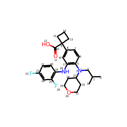 CC(C)CN(c1ccc(C2(C(=O)O)CCC2)cc1Nc1ccc(F)cc1F)C1CCOCC1